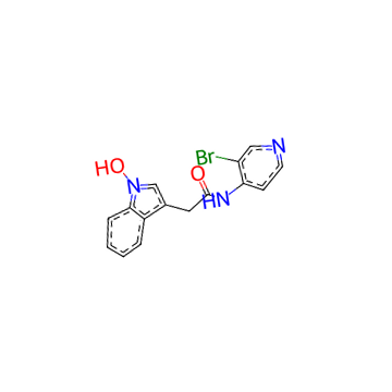 O=C(Cc1cn(O)c2ccccc12)Nc1ccncc1Br